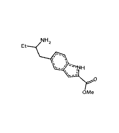 CCC(N)Cc1ccc2[nH]c(C(=O)OC)cc2c1